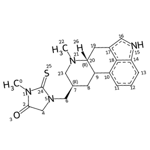 CN1C(=O)CN(C[C@@H]2CC3c4cccc5[nH]cc(c45)C[C@H]3N(C)C2)C1=S